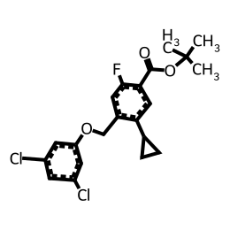 CC(C)(C)OC(=O)c1cc(C2CC2)c(COc2cc(Cl)cc(Cl)c2)cc1F